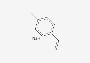 C=Cc1ccc(C)cc1.[NaH]